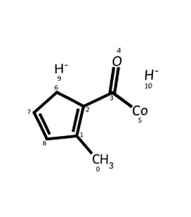 CC1=C([C](=O)[Co])CC=C1.[H-].[H-]